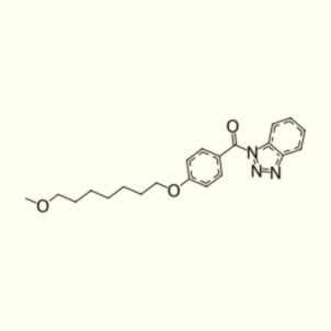 COCCCCCCCOc1ccc(C(=O)n2nnc3ccccc32)cc1